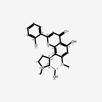 COc1cc(O)c2c(=O)cc(-c3ccccc3Cl)oc2c1[C@@H]1CCN(C)[C@H]1CO